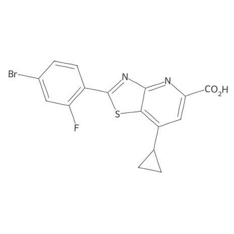 O=C(O)c1cc(C2CC2)c2sc(-c3ccc(Br)cc3F)nc2n1